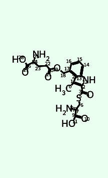 Cc1c(C(=O)SC[C@H](N)C(=O)O)[nH]c2cccc(COC(=O)CC[C@H](N)C(=O)O)c12